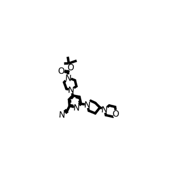 CC(C)(C)OC(=O)N1CCN(c2cc(C#N)nc(N3CCC(N4CCOCC4)CC3)c2)CC1